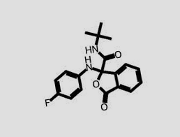 CC(C)(C)NC(=O)C1(Nc2ccc(F)cc2)OC(=O)c2ccccc21